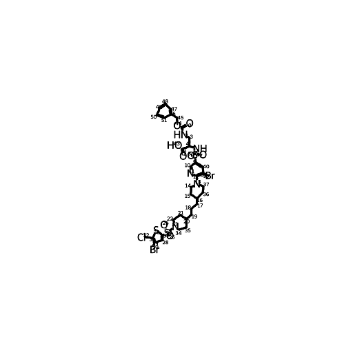 O=C(NCC(NS(=O)(=O)c1cnc(N2CCC(CCCC3CCN(S(=O)(=O)c4cc(Br)c(Cl)s4)CC3)CC2)c(Br)c1)C(=O)O)OCc1ccccc1